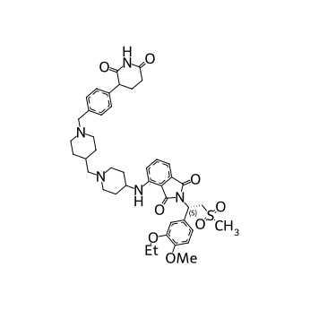 CCOc1cc([C@@H](CS(C)(=O)=O)N2C(=O)c3cccc(NC4CCN(CC5CCN(Cc6ccc(C7CCC(=O)NC7=O)cc6)CC5)CC4)c3C2=O)ccc1OC